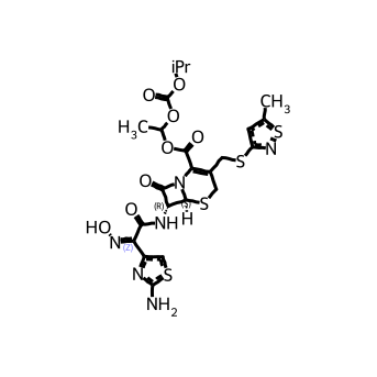 Cc1cc(SCC2=C(C(=O)OC(C)OC(=O)OC(C)C)N3C(=O)[C@@H](NC(=O)/C(=N\O)c4csc(N)n4)[C@@H]3SC2)ns1